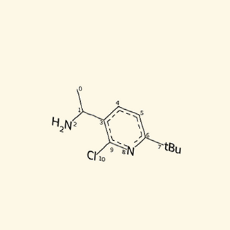 CC(N)c1ccc(C(C)(C)C)nc1Cl